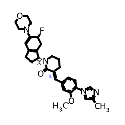 COc1cc(/C=C2\CCCN([C@@H]3CCC4=C3CC(F)C(N3CCOCC3)=C4)C2=O)ccc1-n1cnc(C)c1